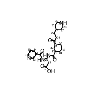 O=C(O)C[C@H](NC(=O)c1cccnc1)NC(=O)[C@@H]1CCCN(C(=O)CCC2CCNCC2)C1